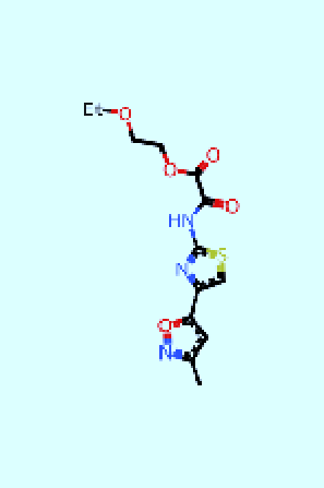 CCOCCOC(=O)C(=O)Nc1nc(-c2cc(C)no2)cs1